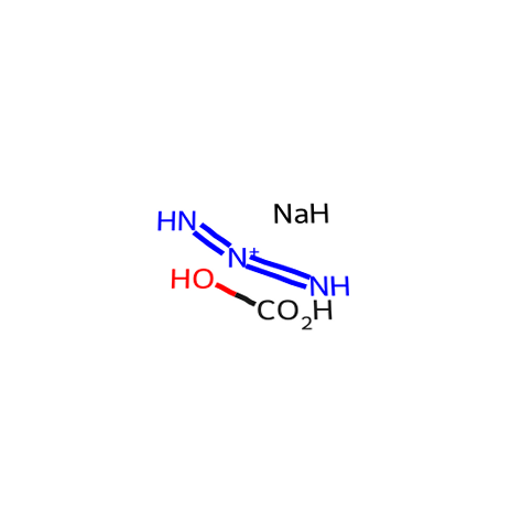 N=[N+]=N.O=C(O)O.[NaH]